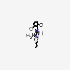 CCCCO/N=C(\N)N/N=C/c1c(Cl)cccc1Cl